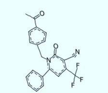 CC(=O)c1ccc(Cn2c(-c3ccccc3)cc(C(F)(F)F)c(C#N)c2=O)cc1